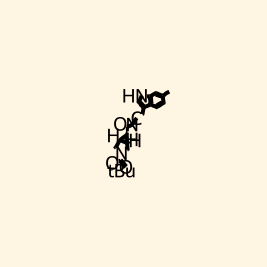 Cc1ccc2c(CCNC(=O)[C@H]3[C@@H]4CN(C(=O)OC(C)(C)C)C[C@@H]43)c[nH]c2c1